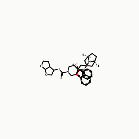 Cc1nc2ccccc2n1C1C[C@H]2CC[C@@H](C1)N2CCC1(c2ccccc2)CCN(C(=O)OC2COC3OCCC23)CC1